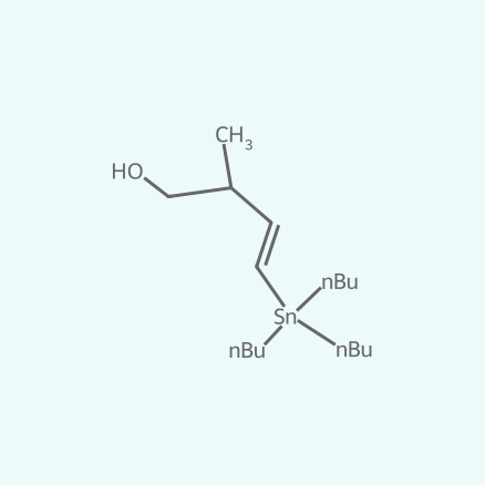 CCC[CH2][Sn]([CH]=CC(C)CO)([CH2]CCC)[CH2]CCC